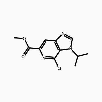 COC(=O)c1cc2ncn(C(C)C)c2c(Cl)n1